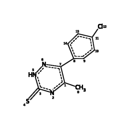 Cc1nc(=S)[nH]nc1-c1ccc(Cl)cc1